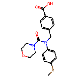 CSc1ccc(N(Cc2ccc(C(=O)O)cc2)C(=O)N2CCOCC2)cc1